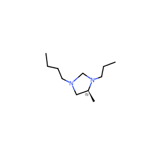 CCCCN1C[C@H](C)N(CCC)C1